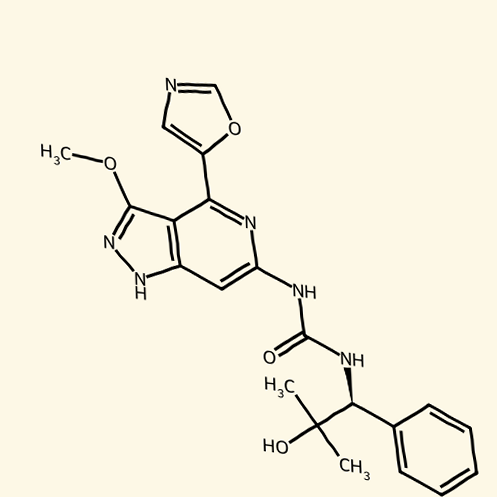 COc1n[nH]c2cc(NC(=O)N[C@@H](c3ccccc3)C(C)(C)O)nc(-c3cnco3)c12